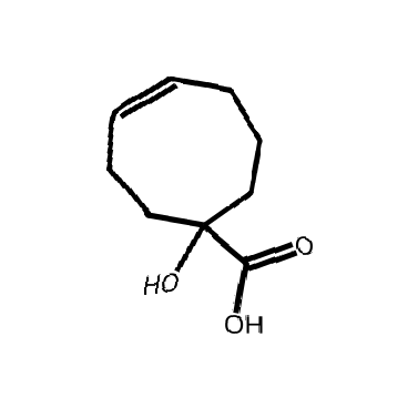 O=C(O)C1(O)CCC=CCCC1